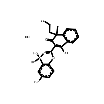 CC(C)CCC1(C)C(=O)C(C2=NS(O)(O)c3cc(N)ccc3N2)=C(O)c2ccccc21.Cl